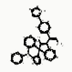 C/C=C(\C1=C(C)C2(c3ccccc31)c1ccccc1N(c1ccccc1)c1ccccc12)c1ccc(-c2cccs2)cc1